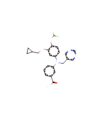 O=C(O)c1cccc(N(Cc2cncnc2)c2ccc(OC(F)F)c(OCC3CC3)c2)c1